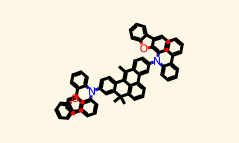 Cc1c2c3c(cccc3c3cc(N(c4ccccc4-c4ccccc4)c4cccc5c4oc4ccccc45)ccc13)C(C)(C)c1cc(N(c3ccccc3-c3ccccc3)c3cccc4c3oc3ccccc34)ccc1-2